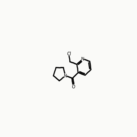 O=C(c1cccnc1CCl)N1CCCC1